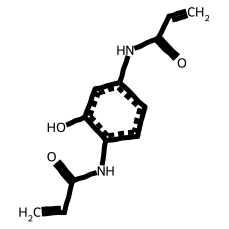 C=CC(=O)Nc1ccc(NC(=O)C=C)c(O)c1